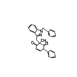 CC1(Cc2nn(Cc3ccccc3)c3ccccc23)C(=O)C=CC(c2ccccc2)C1=O